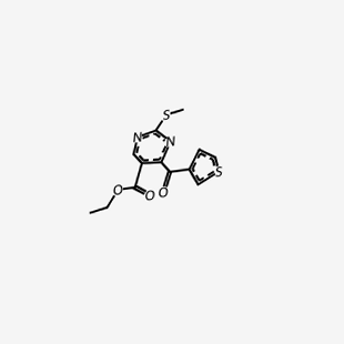 CCOC(=O)c1cnc(SC)nc1C(=O)c1ccsc1